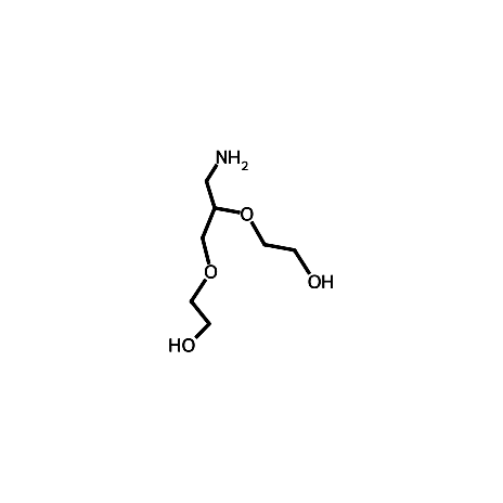 NCC(COCCO)OCCO